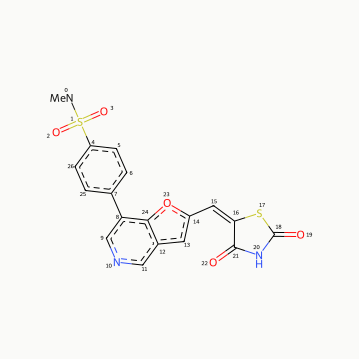 CNS(=O)(=O)c1ccc(-c2cncc3cc(C=C4SC(=O)NC4=O)oc23)cc1